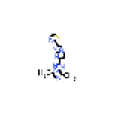 Cc1ncc(C)n2nc(-c3ccn4cc(-c5nccs5)nc4n3)nc12